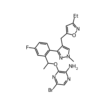 CCc1cc(Cc2cn(C)nc2-c2ccc(F)cc2C(C)Oc2nc(Br)cnc2N)on1